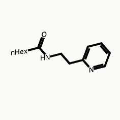 CCCCCCC(=O)NCCc1ccccn1